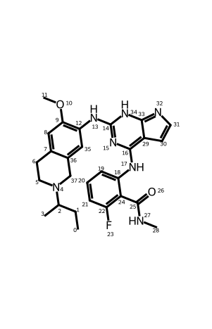 CCC(C)N1CCc2cc(OC)c(Nc3nc(Nc4cccc(F)c4C(=O)NC)c4ccnc-4[nH]3)cc2C1